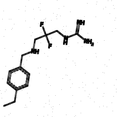 CCc1ccc(CNCC(F)(F)CNC(=N)N)cc1